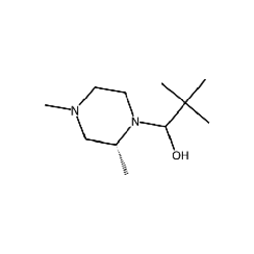 C[C@@H]1CN(C)CCN1C(O)C(C)(C)C